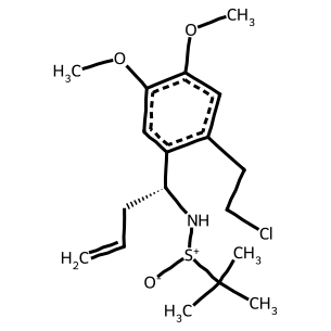 C=CC[C@@H](N[S+]([O-])C(C)(C)C)c1cc(OC)c(OC)cc1CCCl